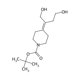 CC(C)(C)OC(=O)N1CCC(=C(CO)CCO)CC1